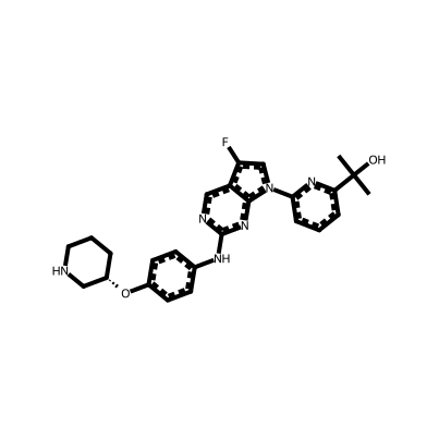 CC(C)(O)c1cccc(-n2cc(F)c3cnc(Nc4ccc(O[C@H]5CCCNC5)cc4)nc32)n1